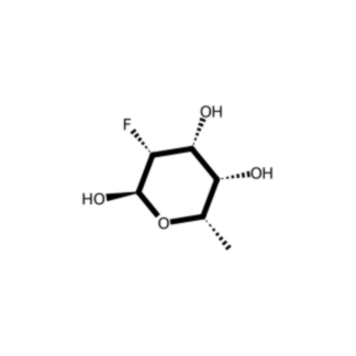 C[C@@H]1O[C@@H](O)[C@H](F)[C@H](O)[C@@H]1O